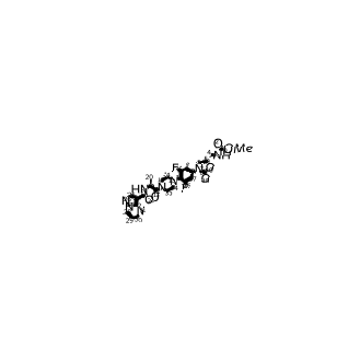 COC(=O)NC[C@H]1CN(c2cc(F)c(N3CCN(C(=O)[C@H](C)NC(=O)c4cnn5cccnc45)CC3)c(F)c2)C(=O)O1